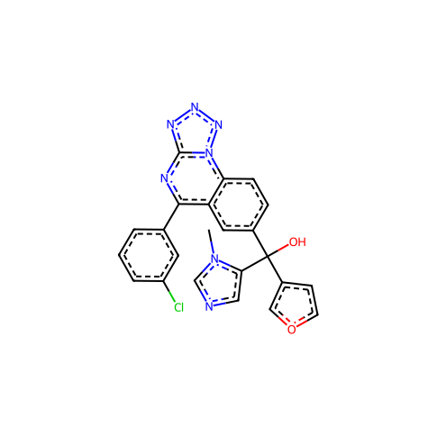 Cn1cncc1C(O)(c1ccoc1)c1ccc2c(c1)c(-c1cccc(Cl)c1)nc1nnnn12